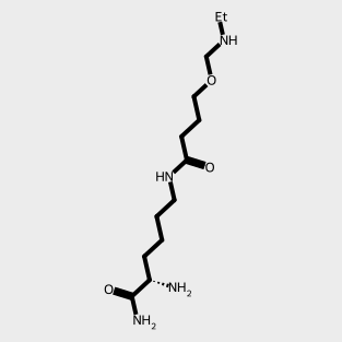 CCNCOCCCC(=O)NCCCC[C@H](N)C(N)=O